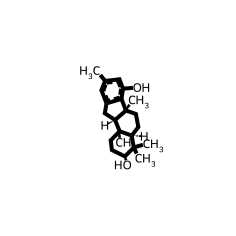 Cc1cc(O)c2c(c1)C[C@@H]1[C@@]3(C)CC[C@H](O)C(C)(C)[C@@H]3CC[C@@]21C